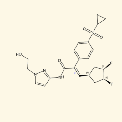 O=C(Nc1ccn(CCO)n1)/C(=C/[C@H]1C[C@@H](F)[C@@H](F)C1)c1ccc(S(=O)(=O)C2CC2)cc1